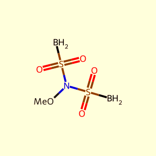 BS(=O)(=O)N(OC)S(B)(=O)=O